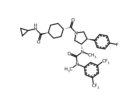 CN(C(=O)N(C)[C@@H]1CN(C(=O)[C@H]2CC[C@H](C(=O)NC3CC3)CC2)C[C@H]1c1ccc(F)cc1)c1cc(C(F)(F)F)cc(C(F)(F)F)c1